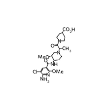 COc1nc(N)c(Cl)cc1C(=O)N[C@@H]1CCN(C(C)C(=O)N2CCC(C(=O)O)CC2)C[C@@H]1OC